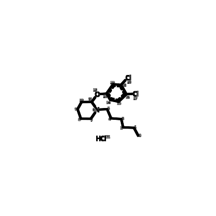 CCCCCCN1CCCCC1Oc1ccc(Cl)c(Cl)c1.Cl